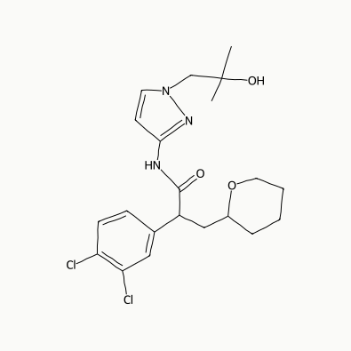 CC(C)(O)Cn1ccc(NC(=O)C(CC2CCCCO2)c2ccc(Cl)c(Cl)c2)n1